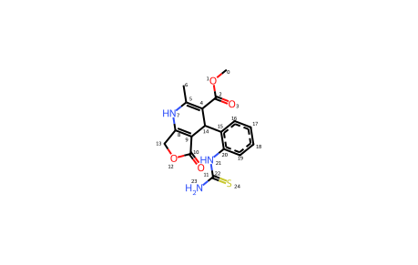 COC(=O)C1=C(C)NC2=C(C(=O)OC2)C1c1ccccc1NC(N)=S